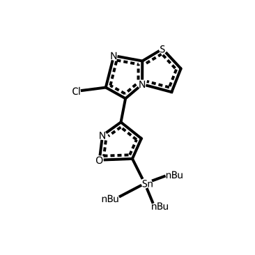 CCC[CH2][Sn]([CH2]CCC)([CH2]CCC)[c]1cc(-c2c(Cl)nc3sccn23)no1